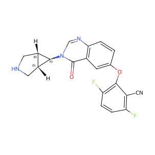 N#Cc1c(F)ccc(F)c1Oc1ccc2ncn([C@H]3[C@@H]4CNC[C@@H]43)c(=O)c2c1